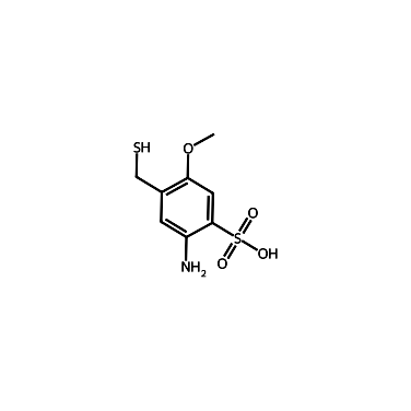 COc1cc(S(=O)(=O)O)c(N)cc1CS